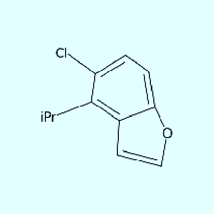 CC(C)c1c(Cl)ccc2occc12